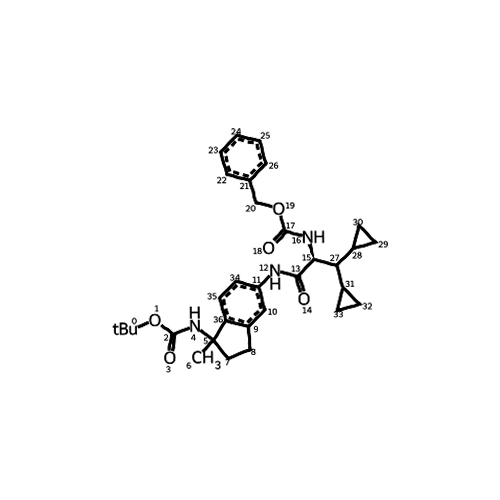 CC(C)(C)OC(=O)NC1(C)CCc2cc(NC(=O)[C@@H](NC(=O)OCc3ccccc3)C(C3CC3)C3CC3)ccc21